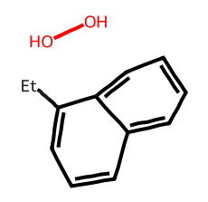 CCc1cccc2ccccc12.OO